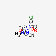 C[C@H]1CN(C(c2ccc(Cl)cc2)c2cccc3c2OCCO3)CCN1c1cc(=O)n(C)c2ccc(C#N)nc12